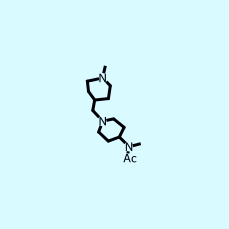 CC(=O)N(C)C1CCN(CC2CCN(C)CC2)CC1